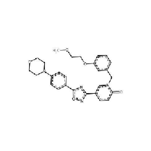 COCCOc1cccc(Cn2cc(-c3noc(-c4ccc(N5CCOCC5)cc4)n3)ccc2=O)c1